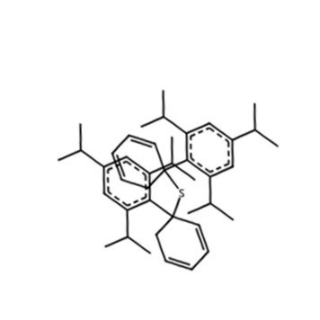 CC(C)c1cc(C(C)C)c(C2(SC3(c4c(C(C)C)cc(C(C)C)cc4C(C)C)C=CC=CC3)C=CC=CC2)c(C(C)C)c1